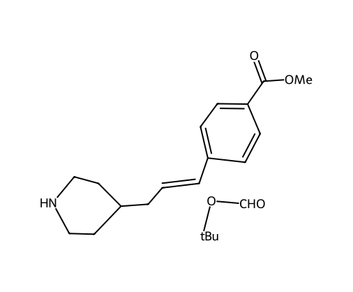 CC(C)(C)OC=O.COC(=O)c1ccc(/C=C/CC2CCNCC2)cc1